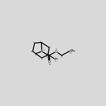 CC(C)C1CC2CCC(C1)N2C(=O)OCC(C)(C)C